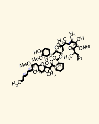 C=C/C=C/C=C(\C)[C@H](CC1CC[C@@H](C)[C@](O)(C(=O)C(=O)N2CCCC[C@H]2C(=O)O[C@@H](CC(=O)[C@H](C)/C=C(\C)[C@@H](O)[C@@H](OC)C(=O)[C@H](C)CC(C)C)[C@H](C)C[C@@H]2CC[C@@H](O)[C@H](OC)C2)O1)OC